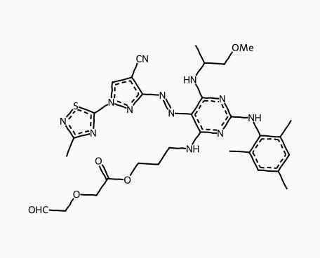 COCC(C)Nc1nc(Nc2c(C)cc(C)cc2C)nc(NCCCOC(=O)COCC=O)c1N=Nc1nn(-c2nc(C)ns2)cc1C#N